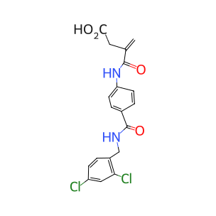 C=C(CC(=O)O)C(=O)Nc1ccc(C(=O)NCc2ccc(Cl)cc2Cl)cc1